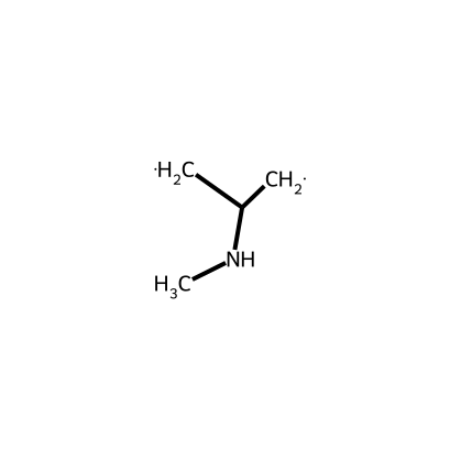 [CH2]C([CH2])NC